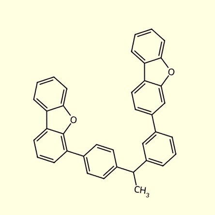 CC(c1ccc(-c2cccc3c2oc2ccccc23)cc1)c1cccc(-c2ccc3c(c2)oc2ccccc23)c1